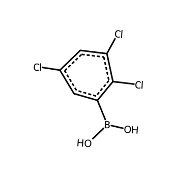 OB(O)c1cc(Cl)cc(Cl)c1Cl